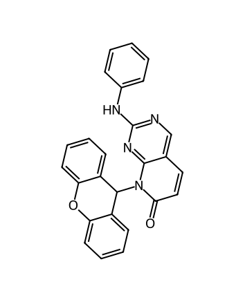 O=c1ccc2cnc(Nc3ccccc3)nc2n1C1c2ccccc2Oc2ccccc21